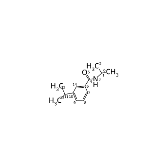 CC(C)NC(=O)c1cccc(C(C)C)c1